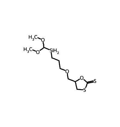 COC(OC)[SiH2]CCCOCC1CSC(=S)O1